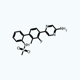 Cc1c(-c2ccccc2NS(C)(=O)=O)ccc(-c2cnc(N)cn2)c1F